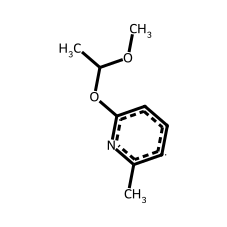 COC(C)Oc1cc[c]c(C)n1